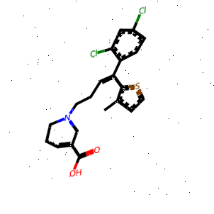 Cc1ccsc1C(=CCCN1CCC=C(C(=O)O)C1)c1ccc(Cl)cc1Cl